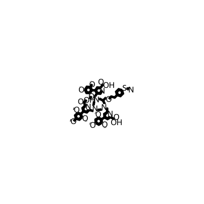 COc1cc(OC)c(-c2cc(CN3CCN(Cc4cc(-c5c(OC)cc(OC)cc5OC)cc(C(=O)O)n4)CC(COCCc4ccc(SC#N)cc4)CN(Cc4cnc(C(=O)O)cc4-c4c(OC)cc(OC)cc4OC)CC3)nc(C(=O)O)c2)c(OC)c1